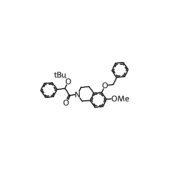 COc1ccc2c(c1OCc1ccccc1)CCN(C(=O)C(OC(C)(C)C)c1ccccc1)C2